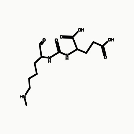 CNCCCCC(C=O)NC(=O)NC(CCC(=O)O)C(=O)O